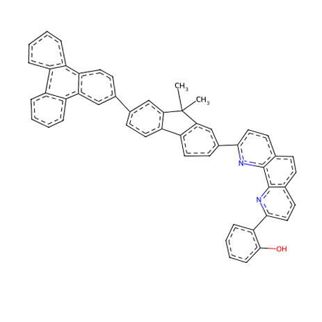 CC1(C)c2cc(-c3ccc4c5ccccc5c5ccccc5c4c3)ccc2-c2ccc(-c3ccc4ccc5ccc(-c6ccccc6O)nc5c4n3)cc21